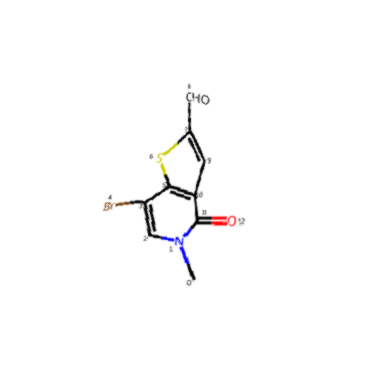 Cn1cc(Br)c2sc(C=O)cc2c1=O